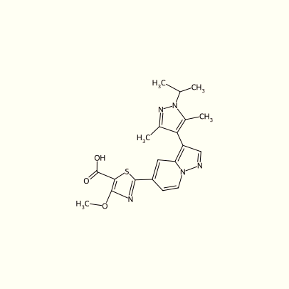 COc1nc(-c2ccn3ncc(-c4c(C)nn(C(C)C)c4C)c3c2)sc1C(=O)O